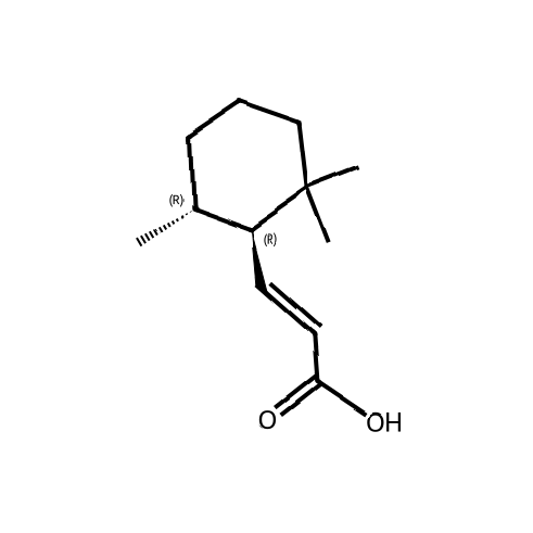 C[C@@H]1CCCC(C)(C)[C@H]1C=CC(=O)O